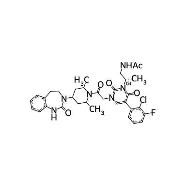 CC(=O)NC[C@H](C)n1c(=O)c(-c2cccc(F)c2Cl)cn(CC(=O)N2C(C)CC(N3CCc4ccccc4NC3=O)CC2C)c1=O